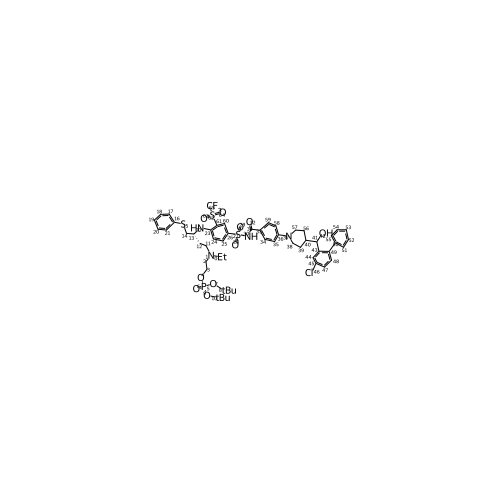 CCN(CCOP(=O)(OC(C)(C)C)OC(C)(C)C)CC[C@H](CSc1ccccc1)Nc1ccc(S(=O)(=O)NC(=O)c2ccc(N3CCC(C(O)c4cc(Cl)ccc4-c4ccccc4)CC3)cc2)cc1S(=O)(=O)C(F)(F)F